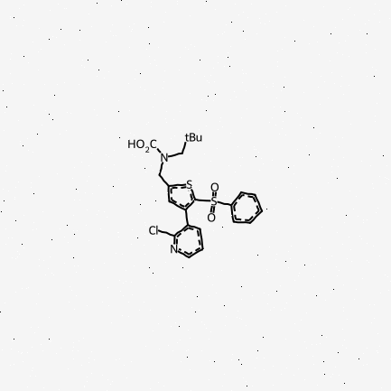 CC(C)(C)CN(Cc1cc(-c2cccnc2Cl)c(S(=O)(=O)c2ccccc2)s1)C(=O)O